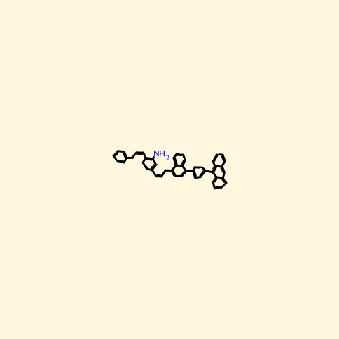 Nc1cc(/C=C\Cc2ccc(C3=CC=C(c4c5ccccc5cc5ccccc45)CC3)c3ccccc23)ccc1/C=C\Cc1ccccc1